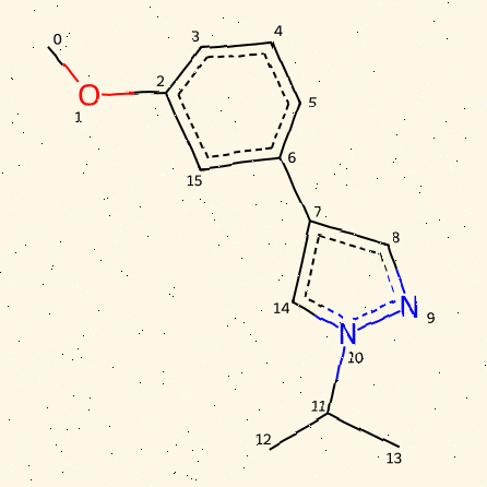 COc1cccc(-c2cnn(C(C)C)c2)c1